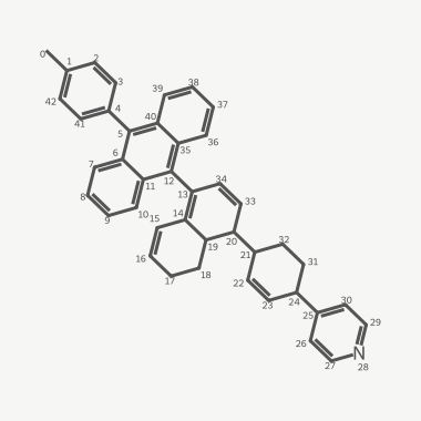 Cc1ccc(-c2c3ccccc3c(C3=C4C=CCCC4C(C4C=CC(c5ccncc5)CC4)C=C3)c3ccccc23)cc1